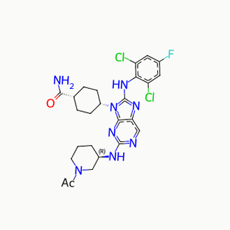 CC(=O)N1CCC[C@@H](Nc2ncc3nc(Nc4c(Cl)cc(F)cc4Cl)n([C@H]4CC[C@@H](C(N)=O)CC4)c3n2)C1